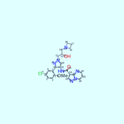 COc1ccc(Cl)cc1-c1nn(CC(O)CN2CCC2)cc1NC(=O)c1cnn2cccnc12